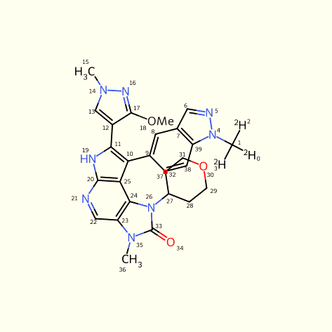 [2H]C([2H])([2H])n1ncc2cc(-c3c(-c4cn(C)nc4OC)[nH]c4ncc5c(c34)n(C3CCOCC3)c(=O)n5C)ccc21